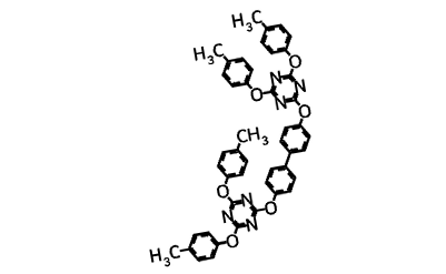 Cc1ccc(Oc2nc(Oc3ccc(C)cc3)nc(Oc3ccc(-c4ccc(Oc5nc(Oc6ccc(C)cc6)nc(Oc6ccc(C)cc6)n5)cc4)cc3)n2)cc1